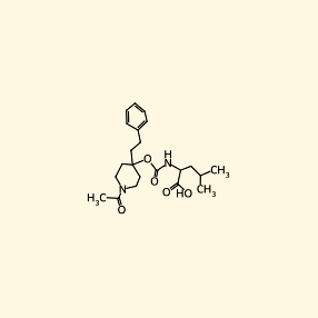 CC(=O)N1CCC(CCc2ccccc2)(OC(=O)NC(CC(C)C)C(=O)O)CC1